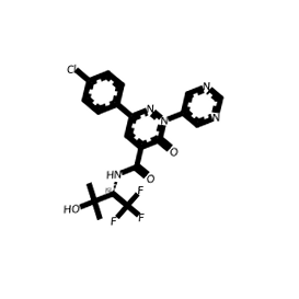 CC(C)(O)[C@H](NC(=O)c1cc(-c2ccc(Cl)cc2)nn(-c2cncnc2)c1=O)C(F)(F)F